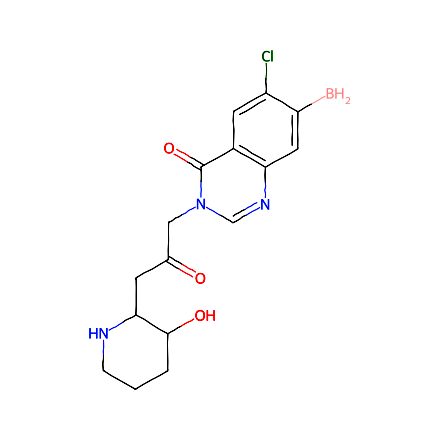 Bc1cc2ncn(CC(=O)CC3NCCCC3O)c(=O)c2cc1Cl